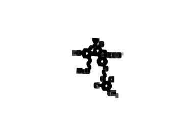 COCCCc1cc(O)cc(C[N+](C(=O)C(CNC(=O)[O-])Cc2ccc(OCCOc3c(Cl)cc(C)cc3Cl)cc2)(C2CC2)C2CC2)c1